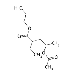 CCCOC(=O)C(CC)CC(C)OC(C)=O